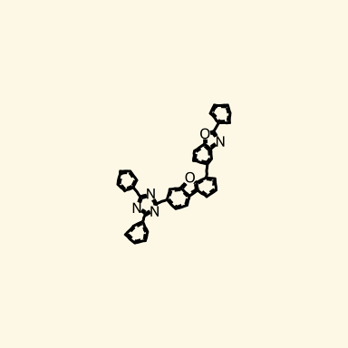 c1ccc(-c2nc(-c3ccccc3)nc(-c3ccc4c(c3)oc3c(-c5ccc6oc(-c7ccccc7)nc6c5)cccc34)n2)cc1